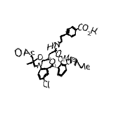 COc1cccc([C@H]2O[C@H](CC(=O)NCCc3ccc(C(=O)O)cc3)C(=O)N(CC(C)(C)COC(C)=O)c3ccc(Cl)cc32)c1OC